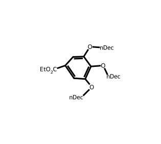 CCCCCCCCCCOc1cc(C(=O)OCC)cc(OCCCCCCCCCC)c1OCCCCCCCCCC